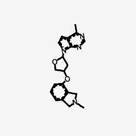 Cc1ncnc2c1ccn2C1CC(Oc2cccc3c2CN(C)C3)CO1